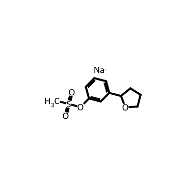 CS(=O)(=O)Oc1cccc(C2CCCO2)c1.[Na]